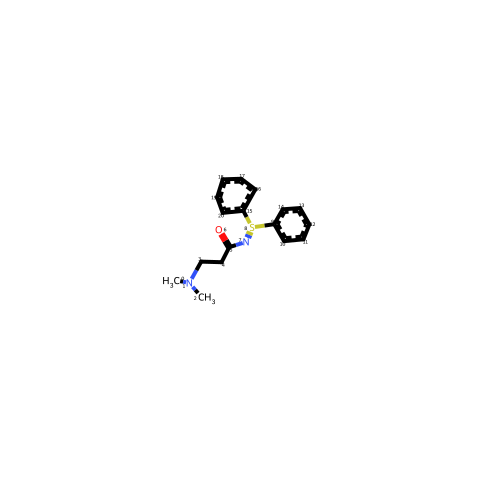 CN(C)CCC(=O)N=S(c1ccccc1)c1ccccc1